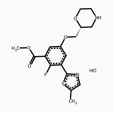 COC(=O)c1cc(OC[C@H]2CNCCO2)cc(-c2ncc(C)s2)c1F.Cl